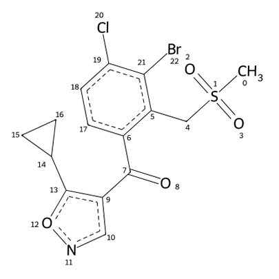 CS(=O)(=O)Cc1c(C(=O)c2cnoc2C2CC2)ccc(Cl)c1Br